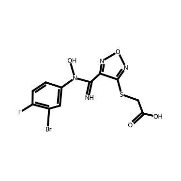 N=C(c1nonc1SCC(=O)O)N(O)c1ccc(F)c(Br)c1